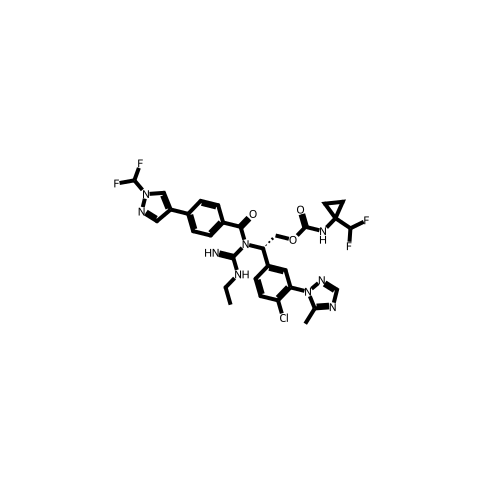 CCNC(=N)N(C(=O)c1ccc(-c2cnn(C(F)F)c2)cc1)[C@H](COC(=O)NC1(C(F)F)CC1)c1ccc(Cl)c(-n2ncnc2C)c1